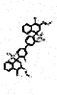 [H]/N=N/C1=C(N)c2ccccc2C(c2ccc(-c3ccc(C4(S(N)(=O)=O)CC(/N=N/[H])=C(N)c5ccccc54)c(F)c3)cc2F)(S(N)(=O)=O)C1